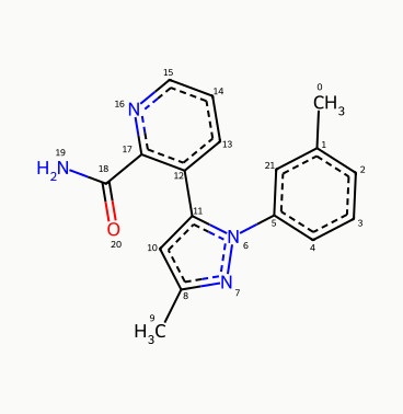 Cc1cccc(-n2nc(C)cc2-c2cccnc2C(N)=O)c1